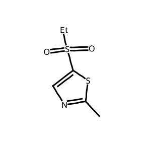 CCS(=O)(=O)c1cnc(C)s1